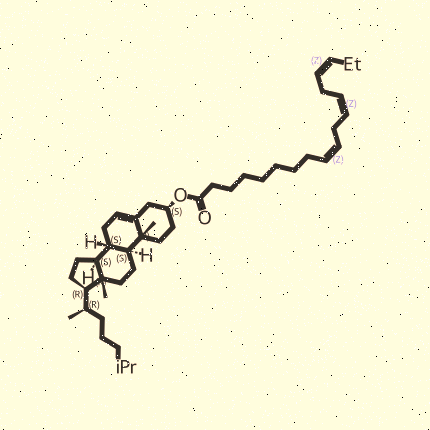 CC/C=C\C/C=C\C/C=C\CCCCCCCC(=O)O[C@H]1CC[C@@]2(C)C(=CC[C@H]3[C@@H]4CC[C@H]([C@H](C)CCCC(C)C)[C@@]4(C)CC[C@@H]32)C1